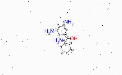 Nc1cc(N)cc(C(O)C2(N)CCCCC2)c1